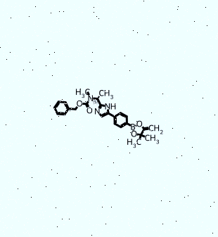 C=C1OB(c2ccc(-c3cnc([C@H](C)N(C)C(=O)OCc4ccccc4)[nH]3)cc2)OC1(C)C